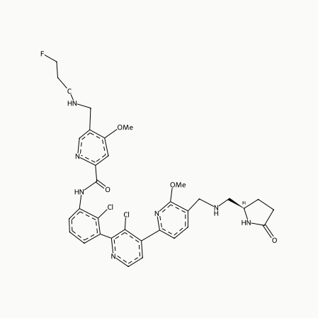 COc1cc(C(=O)Nc2cccc(-c3nccc(-c4ccc(CNC[C@H]5CCC(=O)N5)c(OC)n4)c3Cl)c2Cl)ncc1CNCCCF